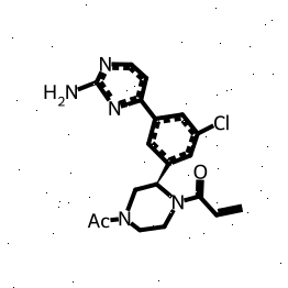 C=CC(=O)N1CCN(C(C)=O)C[C@H]1c1cc(Cl)cc(-c2ccnc(N)n2)c1